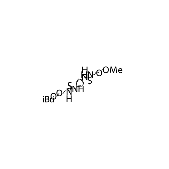 CCC(C)OCOCCNC(=S)Nc1ccc(NC(=S)NCCOCOC)cc1